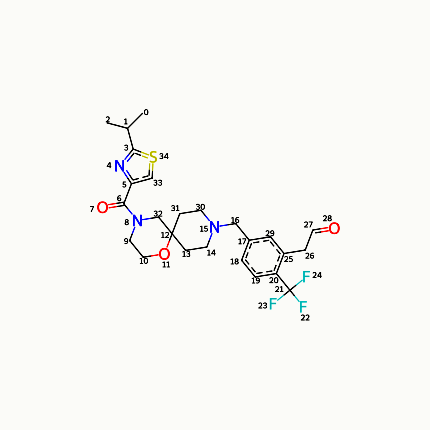 CC(C)c1nc(C(=O)N2CCOC3(CCN(Cc4ccc(C(F)(F)F)c(CC=O)c4)CC3)C2)cs1